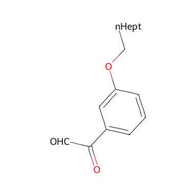 CCCCCCCCOc1cccc(C(=O)C=O)c1